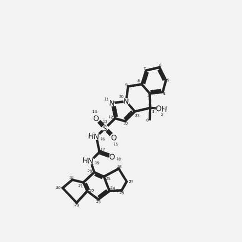 CC1(O)c2ccccc2Cn2nc(S(=O)(=O)NC(=O)Nc3c4c(cc5c3CCC5)CCC4)cc21